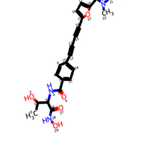 CC(O)C(NC(=O)c1ccc(C#CC#Cc2ccc(CN(C)C)o2)cc1)C(=O)NO